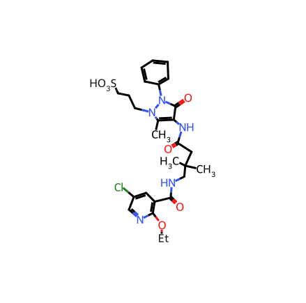 CCOc1ncc(Cl)cc1C(=O)NCC(C)(C)CC(=O)Nc1c(C)n(CCCS(=O)(=O)O)n(-c2ccccc2)c1=O